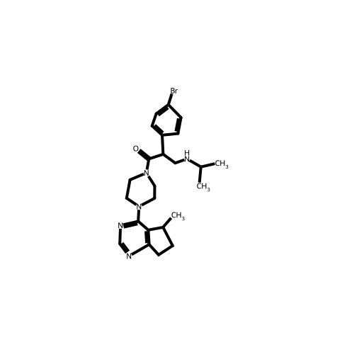 CC(C)NCC(C(=O)N1CCN(c2ncnc3c2C(C)CC3)CC1)c1ccc(Br)cc1